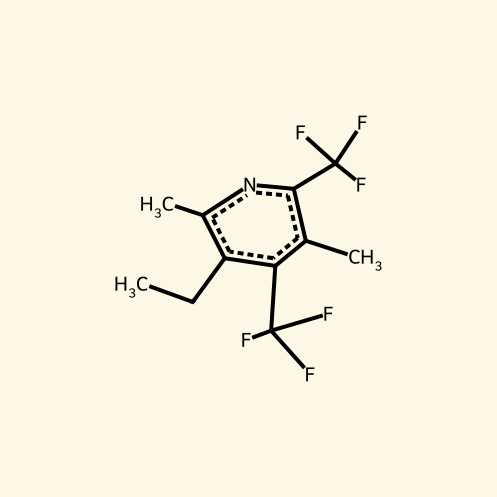 CCc1c(C)nc(C(F)(F)F)c(C)c1C(F)(F)F